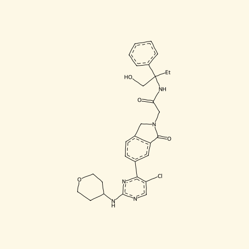 CCC(CO)(NC(=O)CN1Cc2ccc(-c3nc(NC4CCOCC4)ncc3Cl)cc2C1=O)c1ccccc1